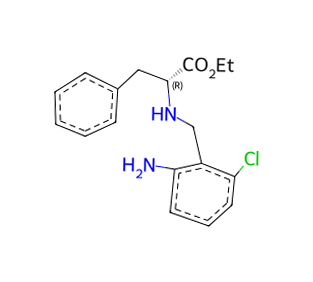 CCOC(=O)[C@@H](Cc1ccccc1)NCc1c(N)cccc1Cl